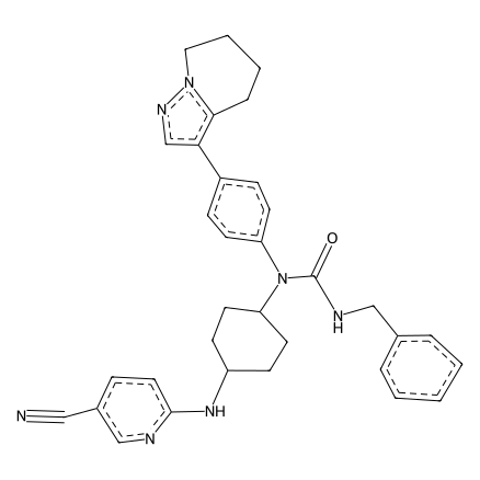 N#Cc1ccc(NC2CCC(N(C(=O)NCc3ccccc3)c3ccc(-c4cnn5c4CCCC5)cc3)CC2)nc1